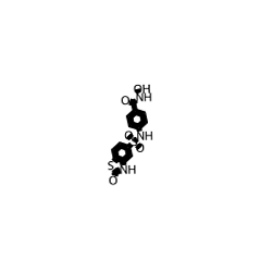 O=C(NO)c1ccc(NS(=O)(=O)c2ccc3sc(=O)[nH]c3c2)cc1